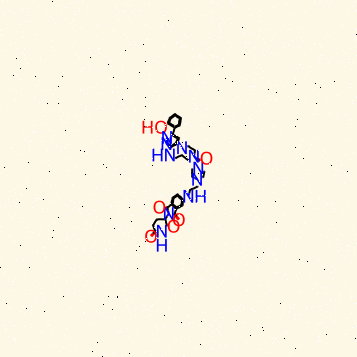 O=C1CCC(N2C(=O)c3ccc(NCCN4CCN(C(=O)N5CCN6c7cc(-c8ccccc8O)nnc7NCC6C5)CC4)cc3C2=O)C(=O)N1